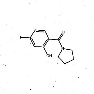 O=C(c1ccc(I)cc1O)N1CCCC1